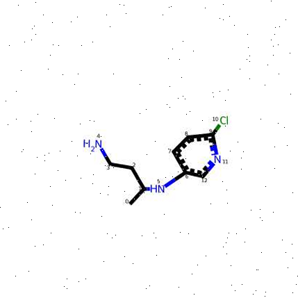 CC(CCN)Nc1ccc(Cl)nc1